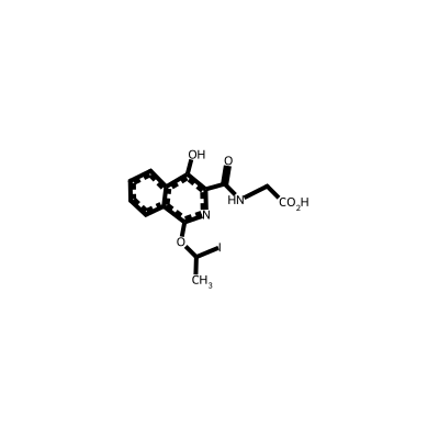 CC(I)Oc1nc(C(=O)NCC(=O)O)c(O)c2ccccc12